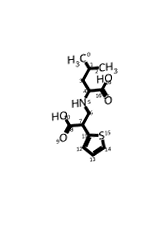 CC(C)CC(NCC(C(=O)O)c1cccs1)C(=O)O